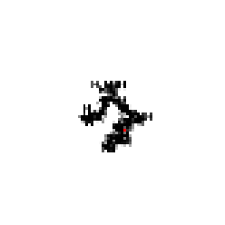 CC[C@H](C)[C@@H]([C@@H](CC(=O)N1CCC[C@H]1[C@H](OC)[C@@H](C)C(=O)N[C@@H](Cc1nc[nH]n1)C(=O)NCc1ccc(NC(=O)[C@H](CCCNC(N)O)NC(=O)[C@@H](NC(=O)CCC(=O)N2CCC(C(=O)NC(C)C)CC2C)C(C)C)cc1)OC)N(C)C(=O)[C@@H](NC(=O)[C@H](C(C)C)N(C)C)C(C)C